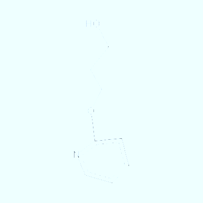 OCCCOc1[c]cccn1